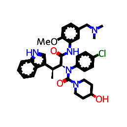 COc1ccc(CN(C)C)cc1NC(=O)[C@@H]([C@@H](C)c1c[nH]c2ccccc12)N(C(=O)N1CCC(O)CC1)c1ccc(Cl)cc1